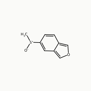 C[S+]([O-])c1ccc2cocc2c1